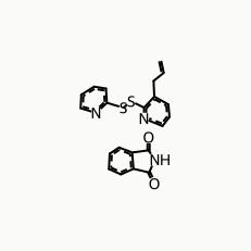 C=CCc1cccnc1SSc1ccccn1.O=C1NC(=O)c2ccccc21